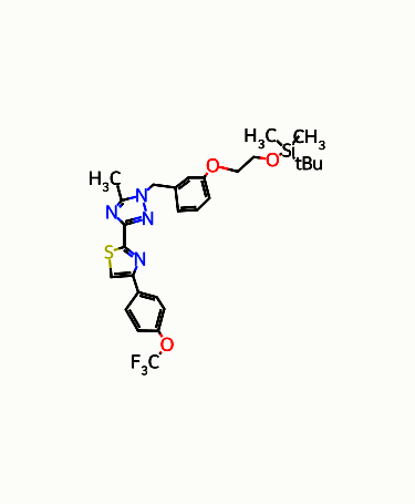 Cc1nc(-c2nc(-c3ccc(OC(F)(F)F)cc3)cs2)nn1Cc1cccc(OCCO[Si](C)(C)C(C)(C)C)c1